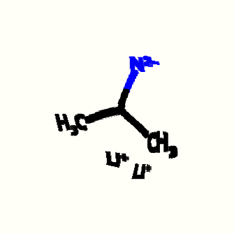 CC(C)[N-2].[Li+].[Li+]